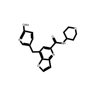 COc1ccc(Cc2cc(C(=O)NC3CCOCC3)nc3ccoc23)cn1